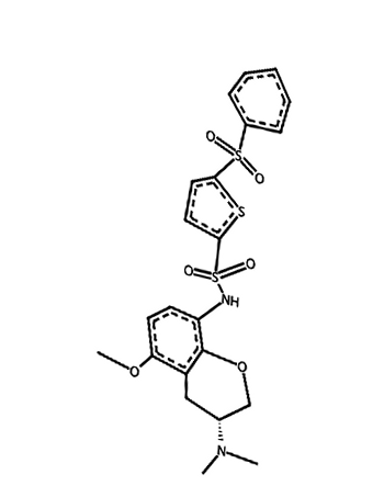 COc1ccc(NS(=O)(=O)c2ccc(S(=O)(=O)c3ccccc3)s2)c2c1C[C@@H](N(C)C)CO2